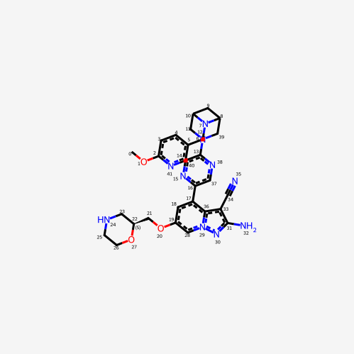 COc1ccc(CN2C3CC2CN(c2cnc(-c4cc(OC[C@@H]5CNCCO5)cn5nc(N)c(C#N)c45)cn2)C3)cn1